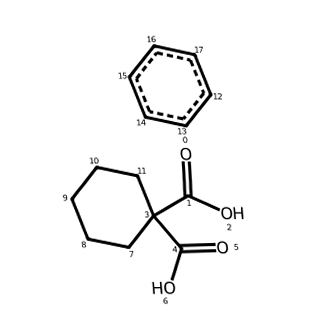 O=C(O)C1(C(=O)O)CCCCC1.c1ccccc1